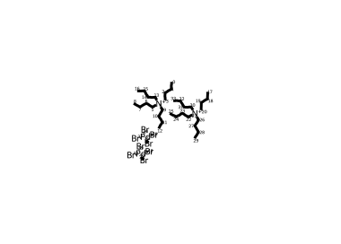 CCCC[N+](CCCC)(CCCC)CCCC.CCCC[N+](CCCC)(CCCC)CCCC.[Br][Pd-]([Br])([Br])[Br].[Br][Pd-]([Br])([Br])[Br]